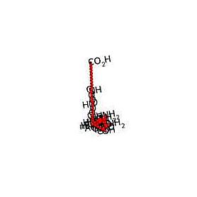 CCCC[C@H](NC(=O)CCNC(=O)[C@H](CO)NC(=O)[C@H](CCC(N)=O)NC(=O)[C@@H](CCCCN)NC(=O)[C@H](CO)NC(=O)[C@H](CCC(N)=O)NC(=O)[C@@H](CO)NC(=O)CNC(=O)COCCOCCNC(=O)COCCOCCNC(=O)CCCCCCCCCCCCCCCCCCC(=O)O)C(C)=O